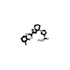 COC(=O)[C@@H]1CCN([C@H]2CCCn3nc(C(=O)Nc4cccc(Br)c4Cl)cc32)C1